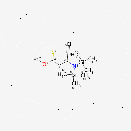 C#CC(CC(=S)OCC)N([Si](C)(C)C)[Si](C)(C)C